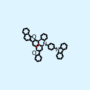 c1ccc(N(c2ccc(-n3c4ccccc4c4ccccc43)cc2)c2ccc3oc4ccccc4c3c2)c(-c2cccc3c2oc2c4ccccc4ccc32)c1